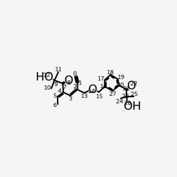 C#C/C(=C\C(=C/C)C(=O)C(C)(C)O)COCc1cccc(C(=O)C(C)(C)O)c1